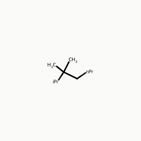 CCC[CH]C(C)(C)C(C)C